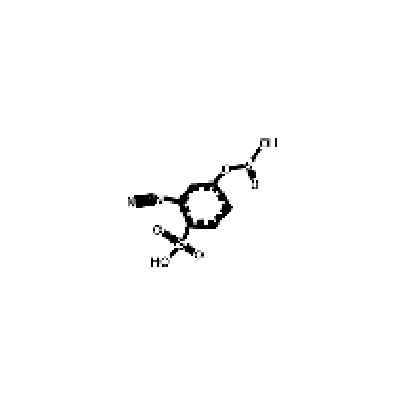 N#[N+]c1cc(OS(=O)O)ccc1S(=O)(=O)O